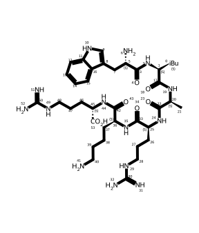 CC[C@H](C)[C@H](NC(=O)[C@@H](N)Cc1c[nH]c2ccccc12)C(=O)N[C@@H](C)C(=O)N[C@@H](CCCNC(=N)N)C(=O)N[C@@H](CCCCN)C(=O)N[C@@H](CCCNC(=N)N)C(=O)O